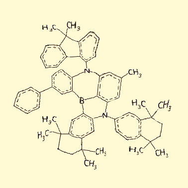 Cc1cc2c3c(c1)N(c1cccc4c1-c1ccccc1C4(C)C)c1ccc(-c4ccccc4)cc1B3c1cc3c(cc1N2c1ccc2c(c1)C(C)(C)CCC2(C)C)C(C)(C)CCC3(C)C